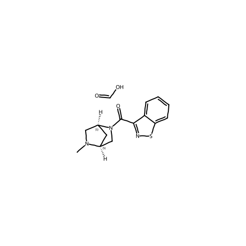 CN1C[C@@H]2C[C@H]1CN2C(=O)c1nsc2ccccc12.O=CO